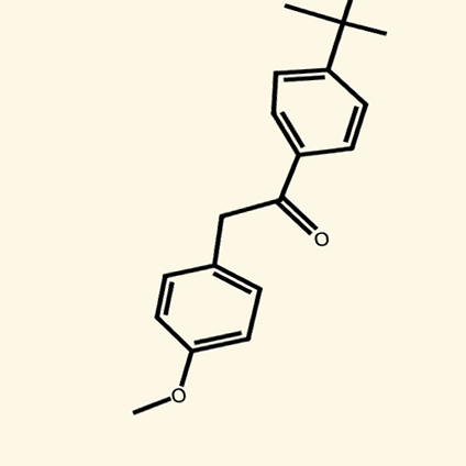 COc1ccc(CC(=O)c2ccc(C(C)(C)C)cc2)cc1